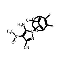 N#Cc1nn(-c2c(Cl)c3c(F)c(F)c2OCO3)c(N)c1[S+]([O-])C(F)(F)F